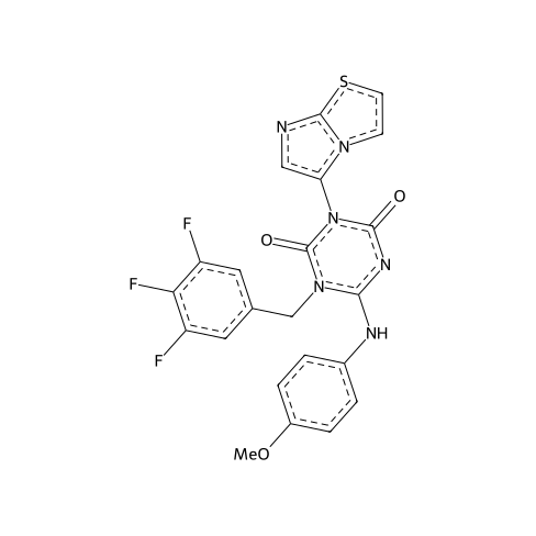 COc1ccc(Nc2nc(=O)n(-c3cnc4sccn34)c(=O)n2Cc2cc(F)c(F)c(F)c2)cc1